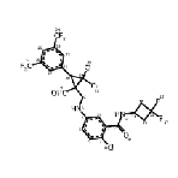 O=CC1(CNc2ccc(Cl)c(C(=O)NC3CC(F)(F)C3)c2)C(c2cc(C(F)(F)F)cc(C(F)(F)F)c2)C1(Cl)Cl